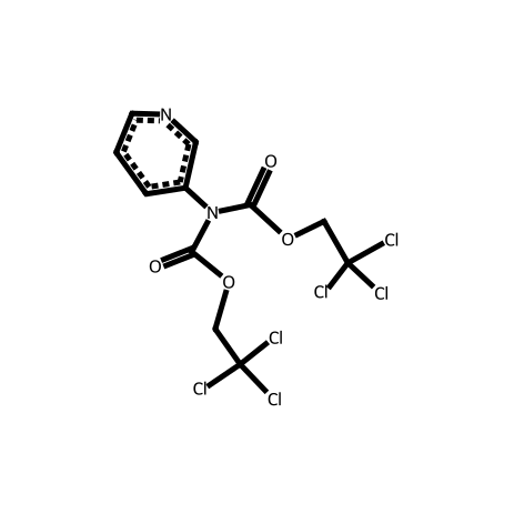 O=C(OCC(Cl)(Cl)Cl)N(C(=O)OCC(Cl)(Cl)Cl)c1cccnc1